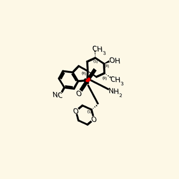 C[C@@H]1C[C@@]2(Cc3ccc(C#N)cc3[C@]23N=C(N)N(C[C@H]2COCCO2)C3=O)C[C@H](C)[C@H]1O